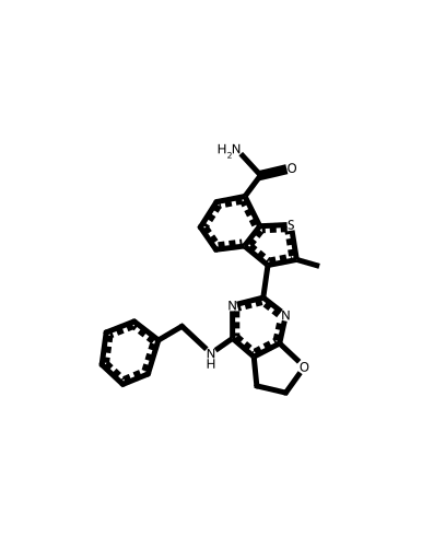 Cc1sc2c(C(N)=O)cccc2c1-c1nc(NCc2ccccc2)c2c(n1)OCC2